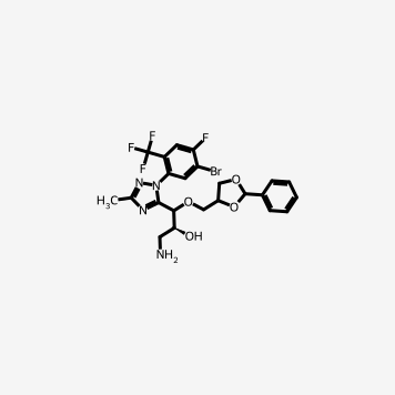 Cc1nc(C(OCC2COC(c3ccccc3)O2)[C@@H](O)CN)n(-c2cc(Br)c(F)cc2C(F)(F)F)n1